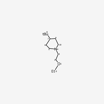 CCOCCN1CCC(C(C)(C)C)CC1